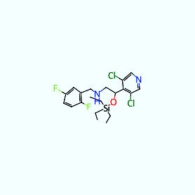 CC[Si](CC)(CC)OC(CNCc1cc(F)ccc1F)c1c(Cl)cncc1Cl